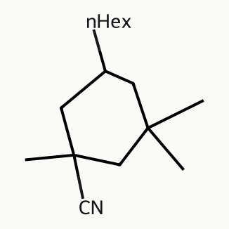 CCCCCCC1CC(C)(C)CC(C)(C#N)C1